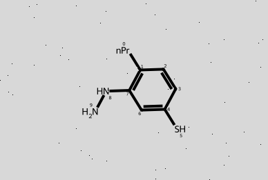 CCCc1ccc(S)cc1NN